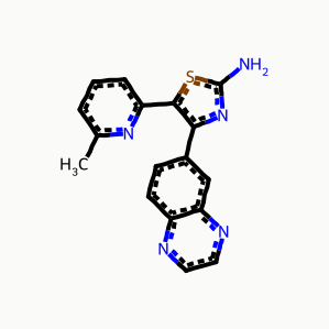 Cc1cccc(-c2sc(N)nc2-c2ccc3nccnc3c2)n1